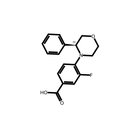 O=C(O)c1ccc(N2CCOC[C@@H]2c2ccccc2)c(F)c1